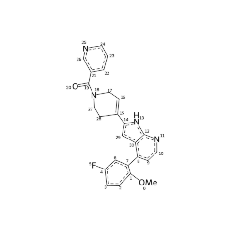 COc1ccc(F)cc1-c1ccnc2[nH]c(C3=CCN(C(=O)c4cccnc4)CC3)cc12